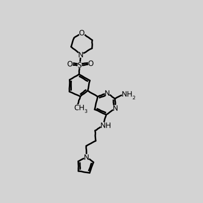 Cc1ccc(S(=O)(=O)N2CCOCC2)cc1-c1cc(NCCCn2cccc2)nc(N)n1